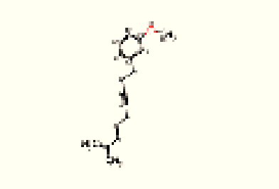 C=C(C)CCCC#CCCc1cccc(OC)c1